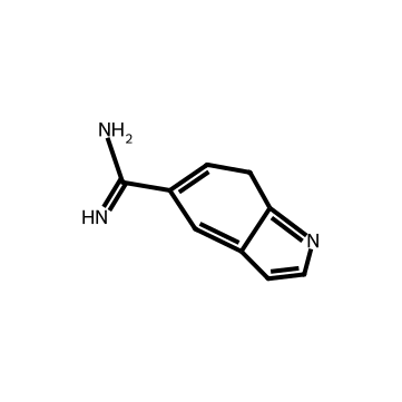 N=C(N)C1=CCC2=NC=CC2=C1